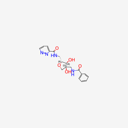 O=C(NC[C@]1(O)CO[C@H](CNC(=O)c2cccnn2)[C@H]1O)c1ccccc1